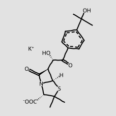 CC(C)(O)c1ccc(C(=O)[C@@H](O)[C@@H]2C(=O)N3[C@@H]2SC(C)(C)[C@@H]3C(=O)[O-])cc1.[K+]